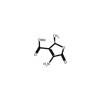 COC(=O)C1=C(N)C(=O)O[C@@H]1C